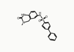 CN1Cc2cc(NS(=O)(=O)c3ccc(-c4ccccc4)cc3)ccc2NC1=O